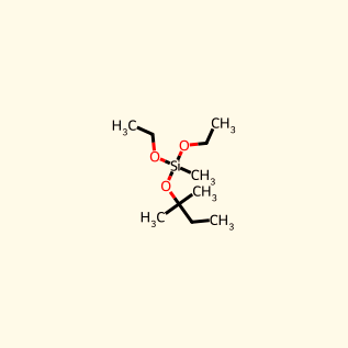 CCO[Si](C)(OCC)OC(C)(C)CC